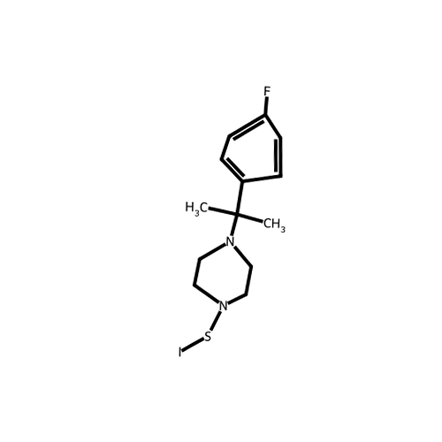 CC(C)(c1ccc(F)cc1)N1CCN(SI)CC1